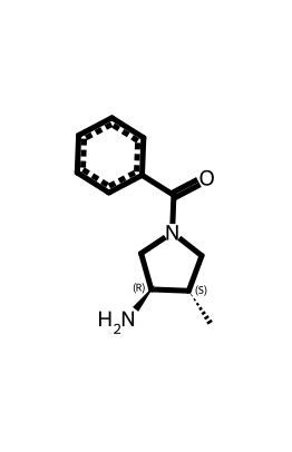 C[C@H]1CN(C(=O)c2ccccc2)C[C@@H]1N